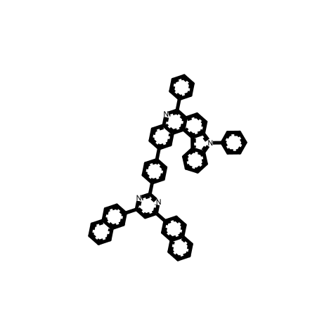 c1ccc(-c2nc3ccc(-c4ccc(-c5nc(-c6ccc7ccccc7c6)cc(-c6ccc7ccccc7c6)n5)cc4)cc3c3c2ccc2c3c3ccccc3n2-c2ccccc2)cc1